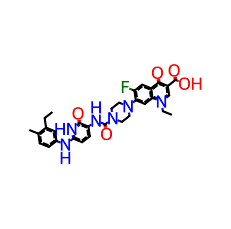 CCc1cc(Nc2ccc(NC(=O)N3CCN(c4cc5c(cc4F)c(=O)c(C(=O)O)cn5CC)CC3)c(=O)[nH]2)ccc1C